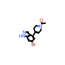 CC(=O)N1CC=C(c2cc(Br)cc3[nH]ncc23)CC1